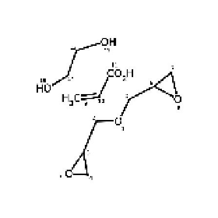 C(OCC1CO1)C1CO1.C=CC(=O)O.OCCO